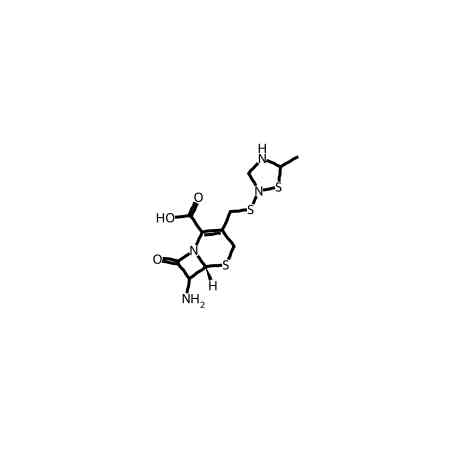 CC1NCN(SCC2=C(C(=O)O)N3C(=O)C(N)[C@H]3SC2)S1